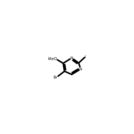 COc1nc(I)ncc1Br